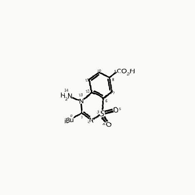 CCC(C)C1=NS(=O)(=O)c2cc(C(=O)O)ccc2N1N